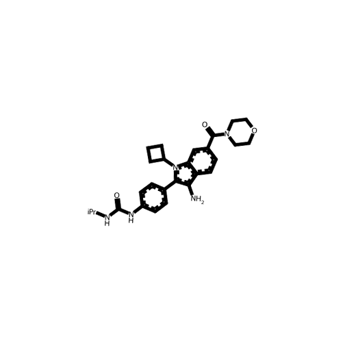 CC(C)NC(=O)Nc1ccc(-c2c(N)c3ccc(C(=O)N4CCOCC4)cc3n2C2CCC2)cc1